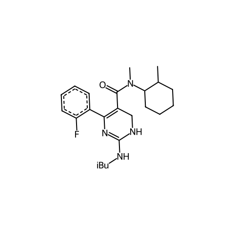 CCC(C)NC1=NC(c2ccccc2F)=C(C(=O)N(C)C2CCCCC2C)CN1